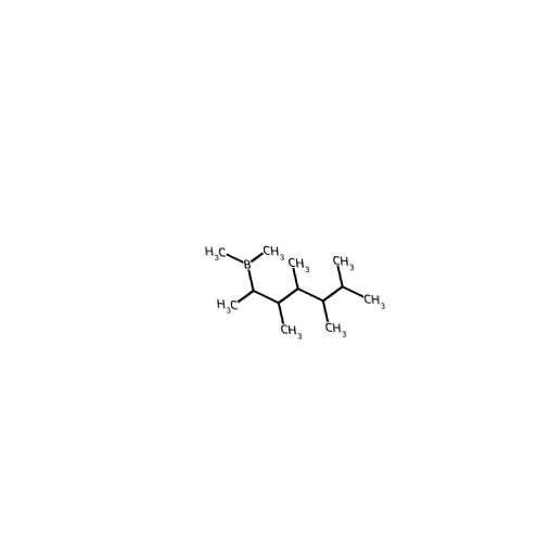 CB(C)C(C)C(C)C(C)C(C)C(C)C